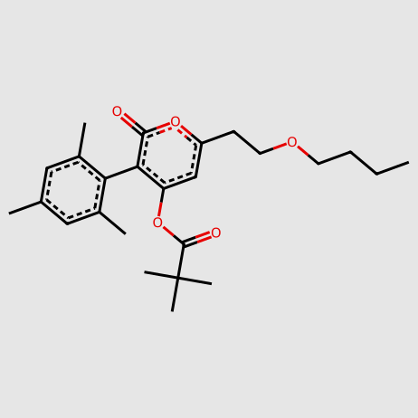 CCCCOCCc1cc(OC(=O)C(C)(C)C)c(-c2c(C)cc(C)cc2C)c(=O)o1